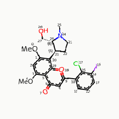 COc1cc(OC)c2c(=O)cc(-c3cccc(I)c3Cl)oc2c1[C@@H]1CCN(C)[C@H]1CO